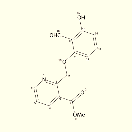 COC(=O)c1cccnc1COc1cccc(O)c1C=O